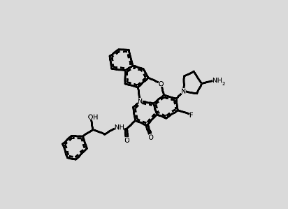 NC1CCN(c2c(F)cc3c(=O)c(C(=O)NCC(O)c4ccccc4)cn4c3c2Oc2cc3ccccc3cc2-4)C1